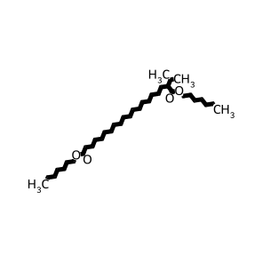 CCCCCCCOC(=O)CCCCCCCCCCCCCCCCCC(C(=O)OCCCCCCC)C(C)C